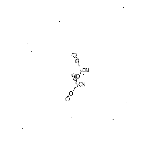 N#CC(CCCCOCc1ccccc1)CCOC(=O)OCCC(C#N)CCCCOCc1ccccc1